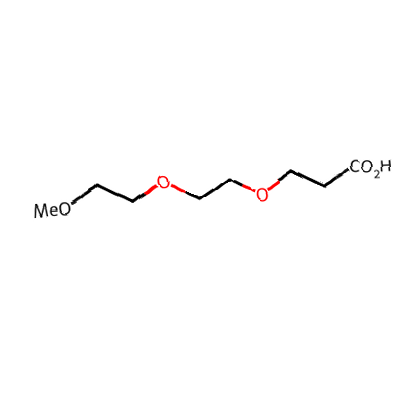 COCCOCCOCCC(=O)O